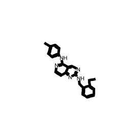 CCc1ccccc1CNc1ncc2c(Nc3ccc(C)cc3)nccc2n1